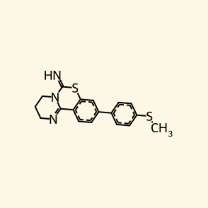 CSc1ccc(-c2ccc3c(c2)SC(=N)N2CCCN=C32)cc1